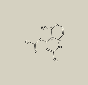 C[C@@H]1OC=C[C@H](NC(=O)C(F)(F)F)[C@@H]1OOC(=O)C(F)(F)F